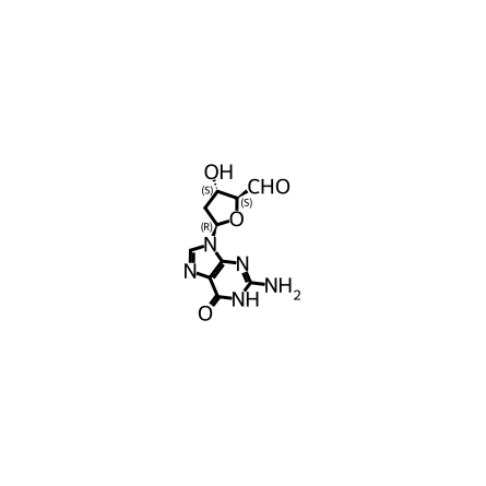 Nc1nc2c(ncn2[C@H]2C[C@H](O)[C@@H](C=O)O2)c(=O)[nH]1